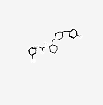 CC(=O)c1cccc(NC(=O)N[C@H]2CCCC[C@@H]2CN2CCC(Cc3ccc(F)cc3)CC2)c1